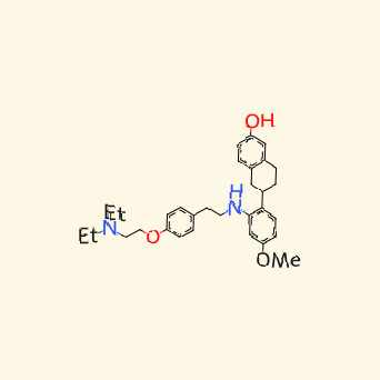 CCN(CC)CCOc1ccc(CCNc2cc(OC)ccc2C2CCc3cc(O)ccc3C2)cc1